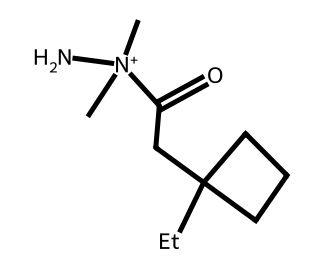 CCC1(CC(=O)[N+](C)(C)N)CCC1